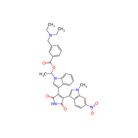 CCN(CC)Cc1cccc(C(=O)OC(C)n2cc(C3=C(c4cn(C)c5cc([N+](=O)[O-])ccc45)C(=O)NC3=O)c3ccccc32)c1